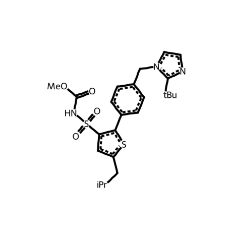 COC(=O)NS(=O)(=O)c1cc(CC(C)C)sc1-c1ccc(Cn2ccnc2C(C)(C)C)cc1